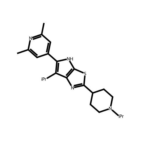 Cc1cc(-c2[nH]c3sc(C4CCN(C(C)C)CC4)nc3c2C(C)C)cc(C)n1